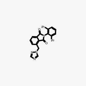 CC(C)c1cccc(C(C)C)c1N1C(=O)c2cccc(Cn3cncn3)c2C1=O